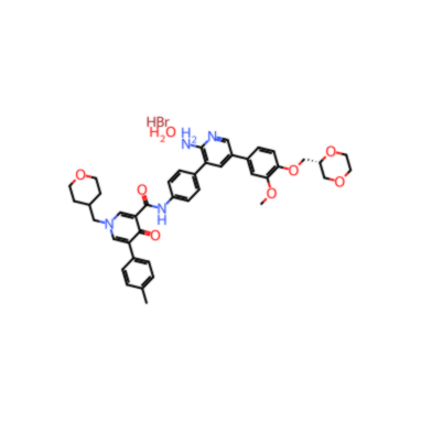 Br.COc1cc(-c2cnc(N)c(-c3ccc(NC(=O)c4cn(CC5CCOCC5)cc(-c5ccc(C)cc5)c4=O)cc3)c2)ccc1OC[C@H]1COCCO1.O